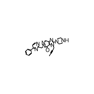 CC#CCn1c(N2CCNCC2)nc2cnn(Cc3nccc(-c4ccccc4)n3)c(=O)c21